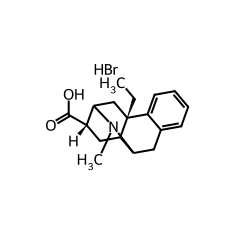 Br.CC[C@]12CC3[C@@H](C(=O)O)CC1C(Cc1ccccc12)N3C